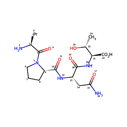 CC(C)[C@H](N)C(=O)N1CCC[C@H]1C(=O)N[C@@H](CC(N)=O)C(=O)N[C@H](C(=O)O)[C@@H](C)O